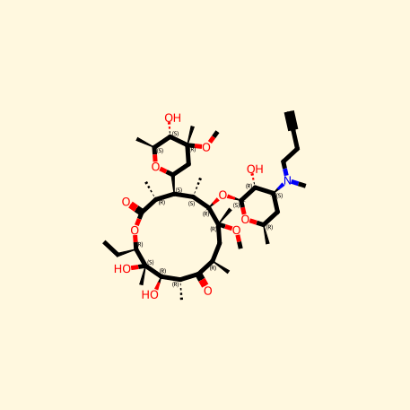 C#CCCN(C)[C@H]1C[C@@H](C)O[C@@H](O[C@@H]2[C@@H](C)[C@H](C3C[C@@](C)(OC)[C@@H](O)[C@H](C)O3)[C@@H](C)C(=O)O[C@H](CC)[C@@](C)(O)[C@H](O)[C@@H](C)C(=O)[C@H](C)C[C@@]2(C)OC)[C@@H]1O